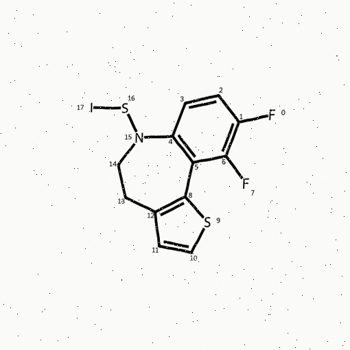 Fc1ccc2c(c1F)-c1sccc1CCN2SI